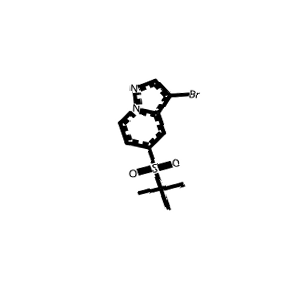 CC(C)(C)S(=O)(=O)c1ccn2ncc(Br)c2c1